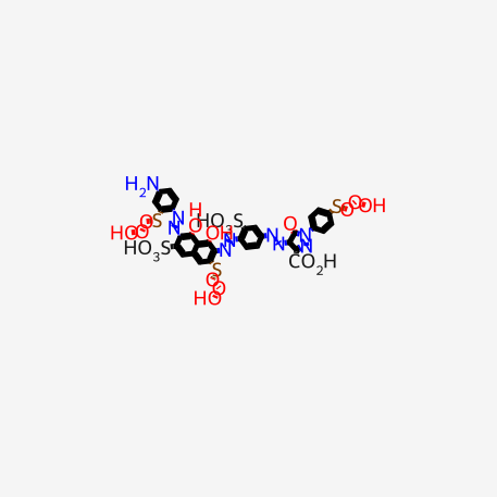 Nc1ccc(N=Nc2c(S(=O)(=O)O)cc3cc(SOOO)c(N=Nc4ccc(N=NC5C(=O)N(c6ccc(SOOO)cc6)N=C5C(=O)O)cc4S(=O)(=O)O)c(O)c3c2O)c(SOOO)c1